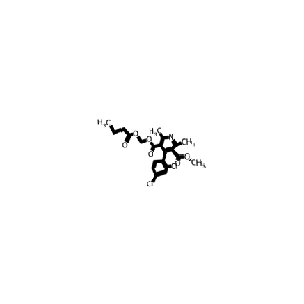 CCCC(=O)OCOC(=O)c1c(C)nc(C)c(C(=O)OC)c1-c1ccc(Cl)cc1Cl